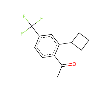 CC(=O)c1ccc(C(F)(F)F)cc1C1CCC1